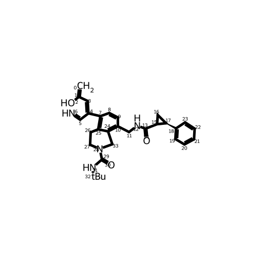 C=C(O)/C=C(\C=N)c1ccc(CNC(=O)C2C[C@H]2c2ccccc2)c2c1CCN(C(=O)NC(C)(C)C)C2